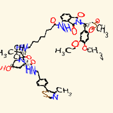 CCOc1cc([C@@H](CS(C)(=O)=O)N2C(=O)c3cccc(NC(=O)CCCCCCCN[C@H](C(=O)N4C[C@H](O)C[C@H]4C(=O)NCc4ccc(-c5scnc5C)cc4)C(C)(C)C)c3C2=O)ccc1OC